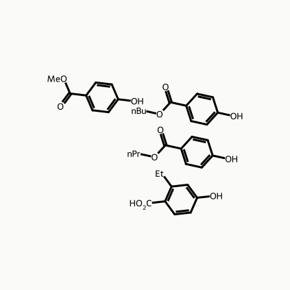 CCCCOC(=O)c1ccc(O)cc1.CCCOC(=O)c1ccc(O)cc1.CCc1cc(O)ccc1C(=O)O.COC(=O)c1ccc(O)cc1